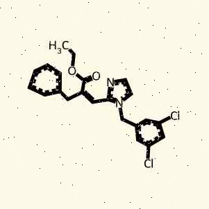 CCOC(=O)C(=Cc1nccn1Cc1cc(Cl)cc(Cl)c1)Cc1ccccc1